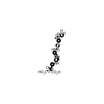 C[C@@H]1CN(C(=O)Nc2cccc(CS(=O)(=O)N3CC[C@H](Nc4cccc(-c5sc(C(=O)O)c(OCC(=O)O)c5Cl)c4)CC3(C)C)c2)CCN1c1ccc2c(c1)n(C)c(=O)n2C1CCC(=O)NC1=O